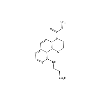 C=CC(=O)N1CCOc2c1ccc1ncnc(NCCC(=O)O)c21